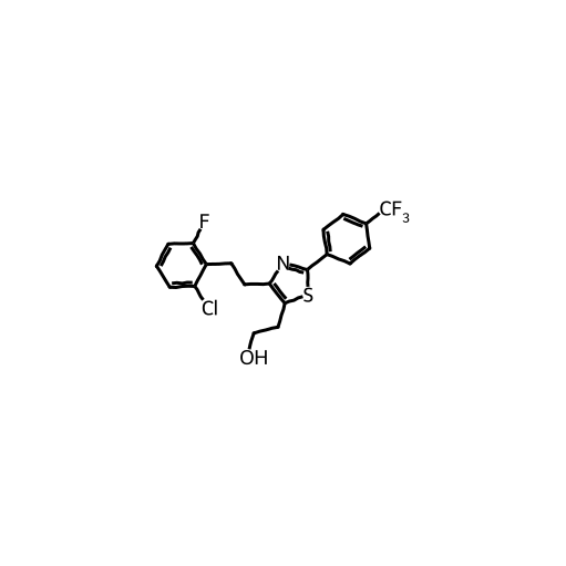 OCCc1sc(-c2ccc(C(F)(F)F)cc2)nc1CCc1c(F)cccc1Cl